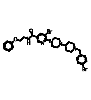 O=C(NCCOc1ccccc1)c1cnc(N2CCN(C3CCN(Cc4ccc(Br)cc4)CC3)CC2)c(Br)c1